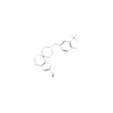 O=Cc1cc2c(s1)C1(CCN(Cc3ccc(F)c(C(F)(F)F)c3)CC1)OCC2